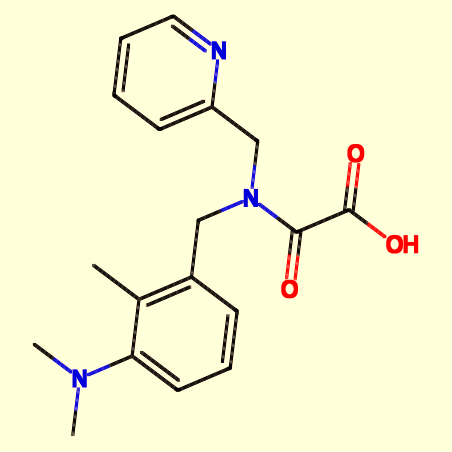 Cc1c(CN(Cc2ccccn2)C(=O)C(=O)O)cccc1N(C)C